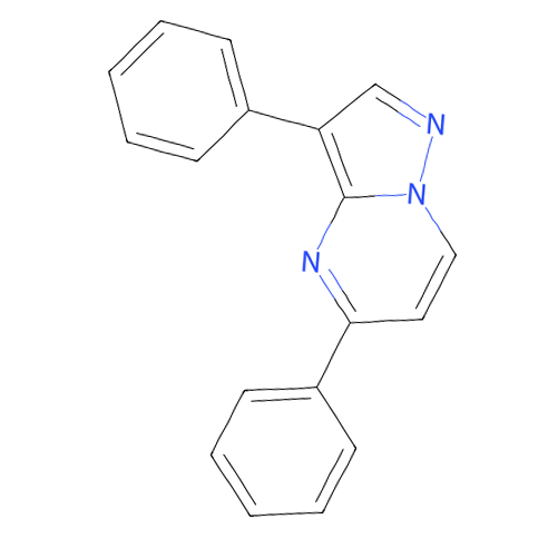 c1ccc(-c2ccn3ncc(-c4ccccc4)c3n2)cc1